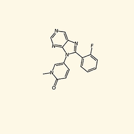 Cn1cc(-n2c(-c3ccccc3F)nc3cncnc32)ccc1=O